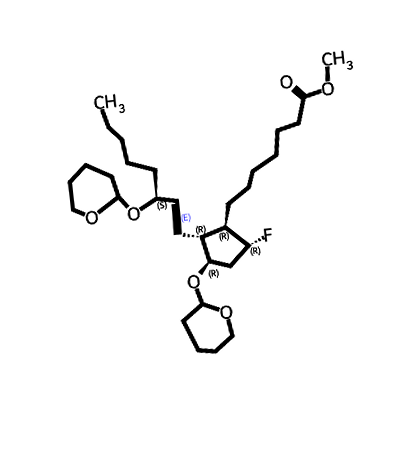 CCCCC[C@@H](/C=C/[C@@H]1[C@@H](CCCCCCC(=O)OC)[C@H](F)C[C@H]1OC1CCCCO1)OC1CCCCO1